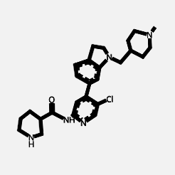 CN1CCC(CN2CCc3ccc(-c4cc(NC(=O)C5CCCNC5)ncc4Cl)cc32)CC1